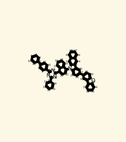 c1ccc(-c2ccc(-c3nc(-c4ccccc4)nc(-c4ccc(-n5c6ccc(-c7ccc8oc9ccccc9c8c7)cc6c6cc7ccccc7cc65)c5ccccc45)n3)cc2)cc1